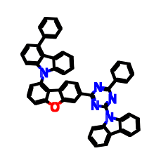 c1ccc(-c2nc(-c3ccc4c(c3)oc3cccc(-n5c6ccccc6c6c(-c7ccccc7)cccc65)c34)nc(-n3c4ccccc4c4ccccc43)n2)cc1